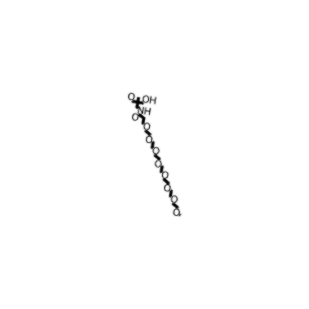 COCCOCCOCCOCCOCCOCCOCCOCCC(=O)NCC(C)(C=O)CO